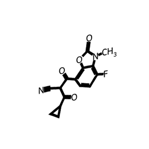 Cn1c(=O)oc2c(C(=O)C(C#N)C(=O)C3CC3)ccc(F)c21